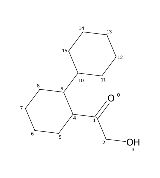 O=C(CO)C1CCCCC1C1CCCCC1